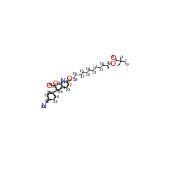 CCC(C)(C)C(=O)OCCCCCCCCCCCCOc1ccc2cc(-c3ccc(C#N)cc3)c(=O)oc2n1